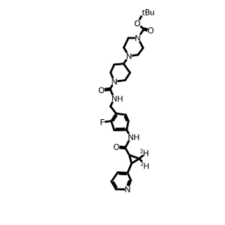 [2H]C1([2H])C(C(=O)Nc2ccc(CNC(=O)N3CCC(N4CCN(C(=O)OC(C)(C)C)CC4)CC3)c(F)c2)C1c1cccnc1